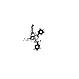 C=CCOC(=O)O[C@@H]1C(OC(C)=O)S[C@@H](COC(=O)c2ccccc2)[C@@H]1OC(=O)c1ccccc1